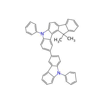 CC1(C)c2ccccc2-c2ccc3c(c21)c1cc(-c2ccc4c(c2)c2ccccc2n4-c2ccccc2)ccc1n3-c1ccccc1